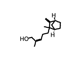 C=C1[C@@H]2CC[C@H](C2)C1(C)CC/C=C(/C)CO